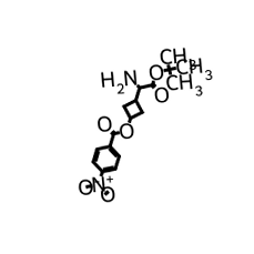 CC(C)(C)OC(=O)C(N)C1CC(OC(=O)c2ccc([N+](=O)[O-])cc2)C1